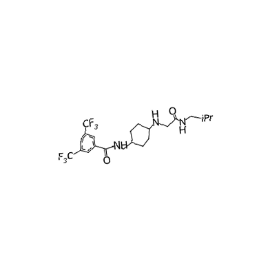 CC(C)CNC(=O)CNC1CCC(CNC(=O)c2cc(C(F)(F)F)cc(C(F)(F)F)c2)CC1